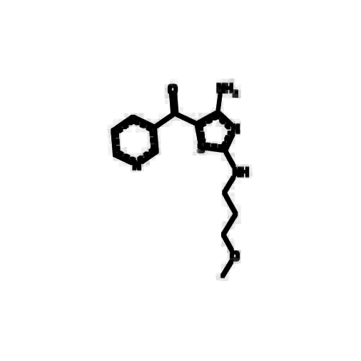 COCCCNc1nc(N)c(C(=O)c2cccnc2)s1